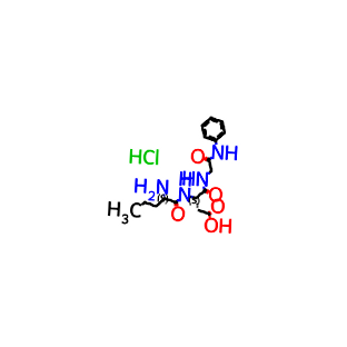 CCC[C@H](N)C(=O)N[C@@H](CC(=O)O)C(=O)NCC(=O)Nc1ccccc1.Cl